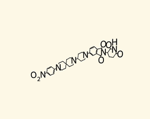 O=C1CCC(N2C(=O)c3ccc(N4CCC(N5CCC6(CCN(c7ccc([N+](=O)[O-])cc7)CC6)CC5)CC4)cc3C2=O)C(=O)N1